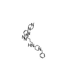 CN1CCN(c2ccc3nnc(CCCNC4CCN(Cc5ccccc5)CC4)n3n2)CC1